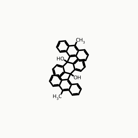 Cc1c2ccccc2c(C2(O)c3ccccc3C(O)(c3c4ccccc4c(C)c4ccccc34)c3ccccc32)c2ccccc12